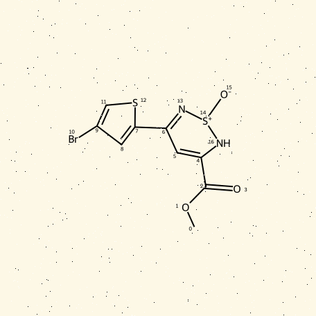 COC(=O)C1=CC(c2cc(Br)cs2)=N[S+]([O-])N1